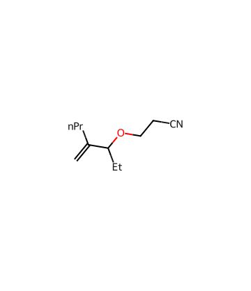 C=C(CCC)C(CC)OCCC#N